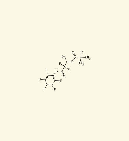 CCC(OC(=O)C(C)(C)CC)C(F)(F)C(=O)Oc1c(F)c(F)c(F)c(F)c1F